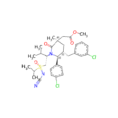 COC(=O)C[C@@]1(C)C[C@H](Cc2cccc(Cl)c2)[C@@H](c2ccc(Cl)cc2)N(C(CS(=O)(=NC#N)C(C)C)C(C)C)C1=O